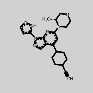 C#CC1CCC(c2cc(N3CCOC[C@H]3C)nc3c2cnn3-c2ccn[nH]2)CC1